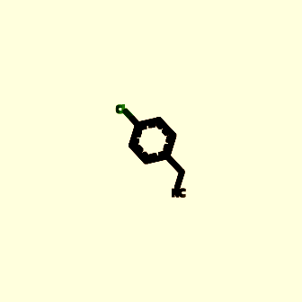 [C-]#[N+]Cc1ccc(Cl)cc1